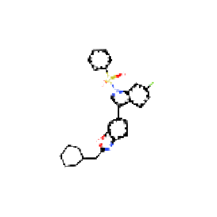 O=S(=O)(c1ccccc1)n1cc(-c2ccc3nc(CC4CCCCC4)oc3c2)c2ccc(F)cc21